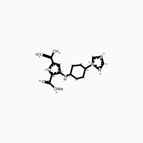 C=C(C)c1cc(NC2CCC(n3cncn3)CC2)c(C(=O)OC)s1